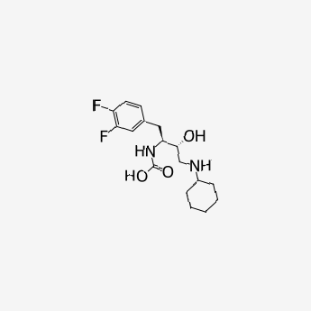 O=C(O)N[C@@H](Cc1ccc(F)c(F)c1)[C@H](O)CNC1CCCCC1